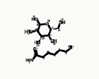 NC(=O)CCCCCBr.N[C@H]1C(O)O[C@H](CO)[C@@H](O)[C@@H]1O